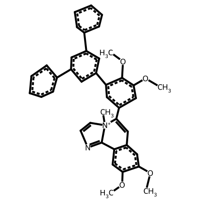 COc1cc2c(cc1OC)C1=NC=C[N+]1(C)C(c1cc(OC)c(OC)c(-c3cc(-c4ccccc4)cc(-c4ccccc4)c3)c1)=C2